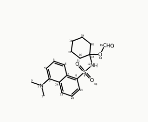 CN(C)c1cccc2c(S(=O)(=O)NC3(OC=O)CCCCC3)cccc12